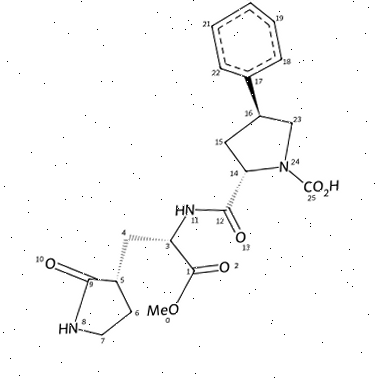 COC(=O)[C@H](C[C@@H]1CCNC1=O)NC(=O)[C@@H]1C[C@@H](c2ccccc2)CN1C(=O)O